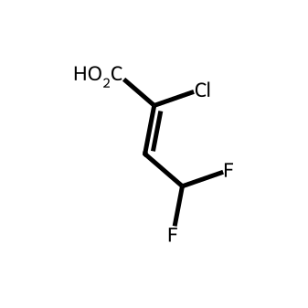 O=C(O)C(Cl)=CC(F)F